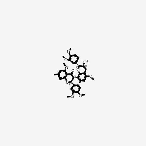 COc1ccc([C@H]2Oc3c(c(OC)cc(C)c3[C@@H]3C(=O)c4c(OC)cc(C)cc4O[C@@H]3c3ccc(OC)c(OC)c3)C[C@@H]2O)cc1OC